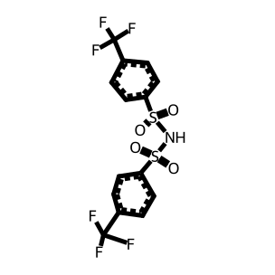 O=S(=O)(NS(=O)(=O)c1ccc(C(F)(F)F)cc1)c1ccc(C(F)(F)F)cc1